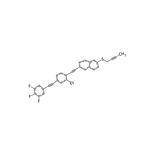 CC#CCSc1ccc2cc(C#Cc3ccc(C#Cc4cc(F)c(F)c(F)c4)cc3CC)ccc2c1